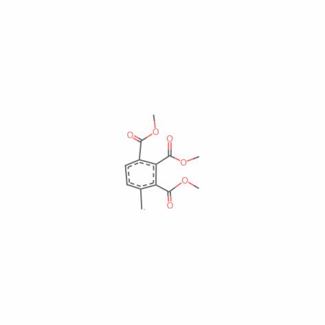 [CH2]c1ccc(C(=O)OC)c(C(=O)OC)c1C(=O)OC